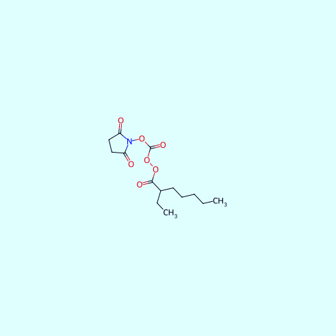 CCCCCC(CC)C(=O)OOC(=O)ON1C(=O)CCC1=O